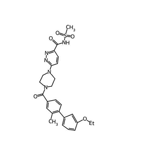 CCOc1cccc(-c2ccc(C(=O)N3CCN(c4ccc(C(=O)NS(C)(=O)=O)nn4)CC3)cc2C)c1